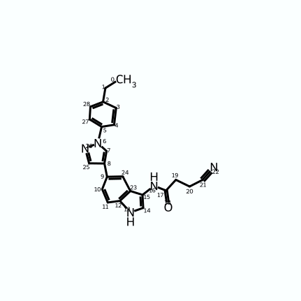 CCc1ccc(-n2cc(-c3ccc4[nH]cc(NC(=O)CCC#N)c4c3)cn2)cc1